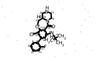 CC(C)(C)Nc1cc(-c2ccccc2F)c(Cl)c2c1C(=O)N1CCNC[C@@H]1CO2